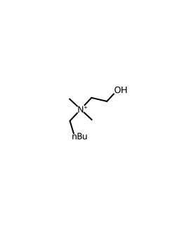 CCCCC[N+](C)(C)CCO